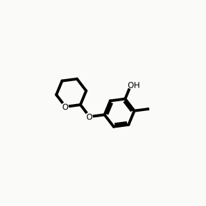 Cc1ccc(OC2CCCCO2)cc1O